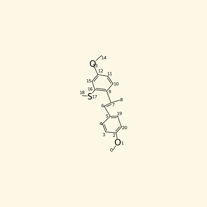 COc1ccc(/C=C(\C)c2ccc(OC)cc2SC)cc1